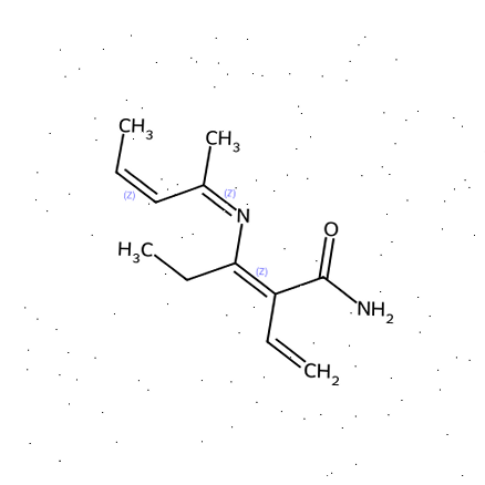 C=C/C(C(N)=O)=C(CC)/N=C(C)\C=C/C